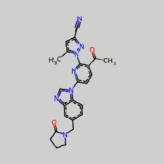 CC(=O)c1ccc(-n2cnc3cc(CN4CCCC4=O)ccc32)nc1-n1nc(C#N)cc1C